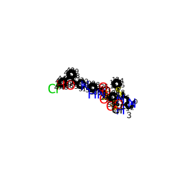 CN1CCCC1CC(CSc1ccccc1)Nc1ccc(S(=O)(=O)NC(=O)c2ccc(N3CCC([C@@H](O)c4ccccc4-c4ccc(Cl)cc4)CC3)cc2)cc1S(=O)(=O)C(F)(F)F